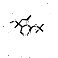 C=CCC(C)(OC)C(CO)NC(=O)OC(C)(C)C